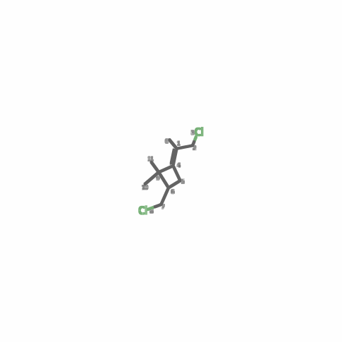 C/C(CCl)=C1/CC(CCl)C1(C)C